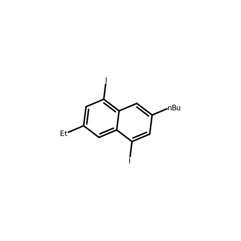 CCCCc1cc(I)c2cc(CC)cc(I)c2c1